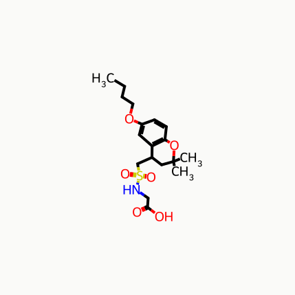 CCCCOc1ccc2c(c1)C(CS(=O)(=O)NCC(=O)O)CC(C)(C)O2